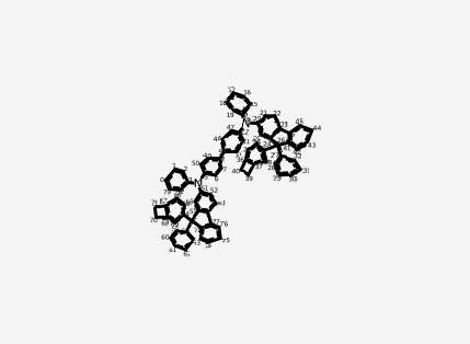 c1ccc(N(c2ccc(-c3ccc(N(c4ccccc4)c4ccc5c(c4)C(c4ccccc4)(c4ccc6c(c4)CC6)c4ccccc4-5)cc3)cc2)c2ccc3c(c2)C(c2ccccc2)(c2ccc4c(c2)CC4)c2ccccc2-3)cc1